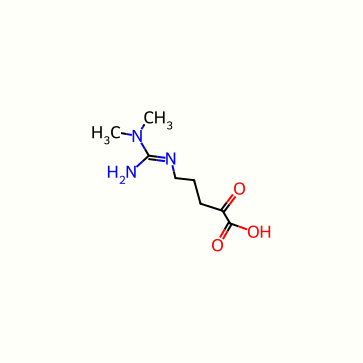 CN(C)C(N)=NCCCC(=O)C(=O)O